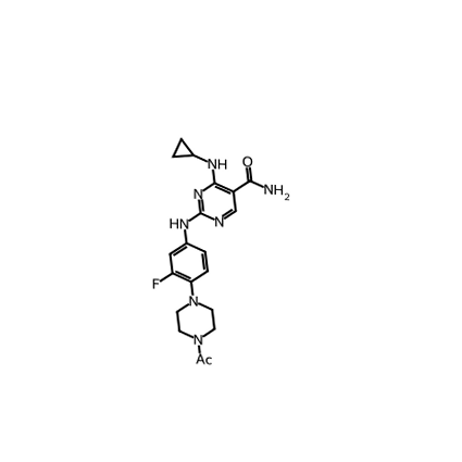 CC(=O)N1CCN(c2ccc(Nc3ncc(C(N)=O)c(NC4CC4)n3)cc2F)CC1